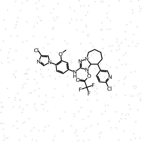 COc1cc(NC2=NN3CCCCC(c4ccc(Cl)nc4)C3N2OC(=O)C(F)(F)F)ccc1-n1cnc(Cl)c1